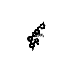 C[C@H]1CCCN(Cc2cc(C(F)(F)F)c3[nH]c(-c4cccc(-c5ccc(F)cc5-c5nncn5C)c4)nc3c2)C1